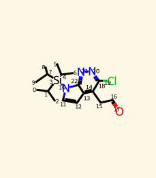 CC(C)[Si](C(C)C)(C(C)C)n1ccc2c(CC=O)c(Cl)nnc21